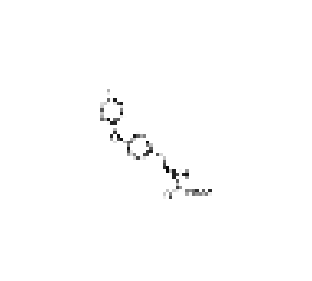 CNC(=O)NN=Cc1ccc(Oc2ccc(F)cc2)cc1